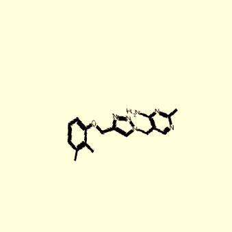 Cc1ncc(Cn2cc(COc3cccc(C)c3C)nn2)c(N)n1